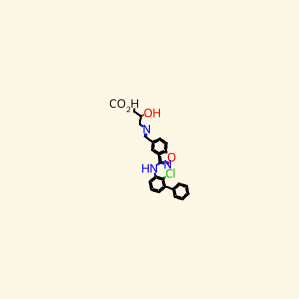 O=C(O)CC(O)CN=Cc1ccc2onc(Nc3cccc(-c4ccccc4)c3Cl)c2c1